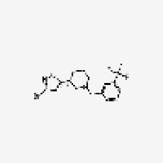 FC(F)(F)c1cccc(CN2CCC[C@H]([C@H]3CC(Br)=NO3)C2)c1